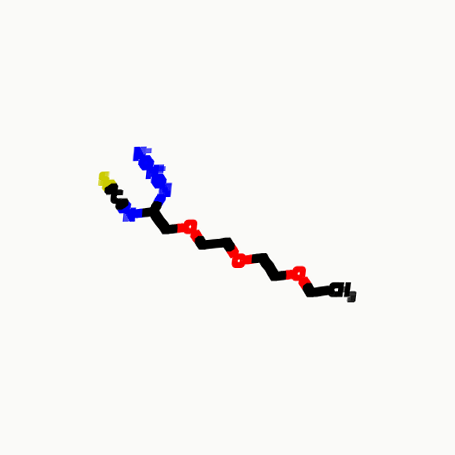 CCOCCOCCOCC(N=C=S)N=[N+]=[N-]